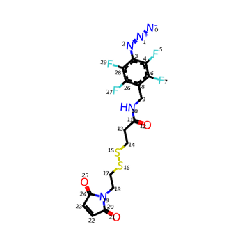 [N-]=[N+]=Nc1c(F)c(F)c(CNC(=O)CCSSCCN2C(=O)C=CC2=O)c(F)c1F